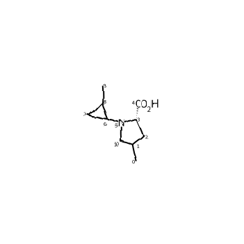 CC1C[C@@H](C(=O)O)N(C2CC2C)C1